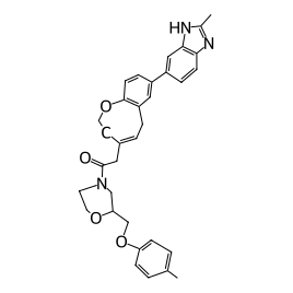 Cc1ccc(OCC2CN(C(=O)C/C3=C/Cc4cc(-c5ccc6nc(C)[nH]c6c5)ccc4OCC3)CCO2)cc1